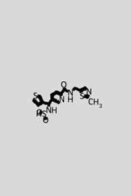 Cc1ncc(CNC(=O)c2ccc(C(N[SH](=O)=O)c3ccsc3)cn2)s1